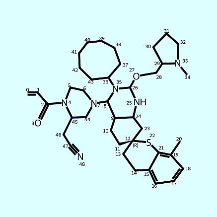 C=CC(=O)N1CCN(C2C3CC[C@@]4(CCc5cccc(C)c5S4)CC3NC(OCC3CCCN3C)N2C2CCCCCCC2)CC1CC#N